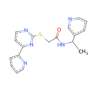 CC(NC(=O)CSc1nccc(-c2ccccn2)n1)c1cccnc1